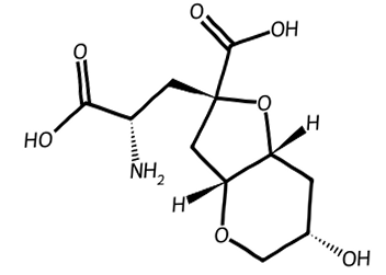 N[C@@H](C[C@]1(C(=O)O)C[C@H]2OC[C@@H](O)C[C@H]2O1)C(=O)O